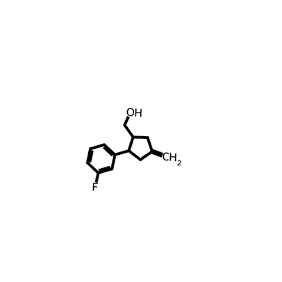 C=C1CC(CO)C(c2cccc(F)c2)C1